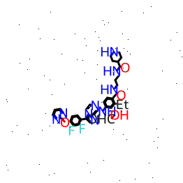 CCc1cc(Nc2nccn3c(-c4ccc(Oc5ncccn5)c(F)c4F)cnc23)ccc1C(=O)NCCCNC(=O)C1CCNCC1.O=CO